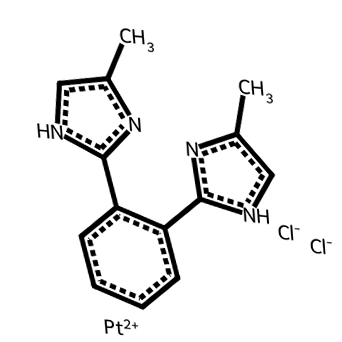 Cc1c[nH]c(-c2ccccc2-c2nc(C)c[nH]2)n1.[Cl-].[Cl-].[Pt+2]